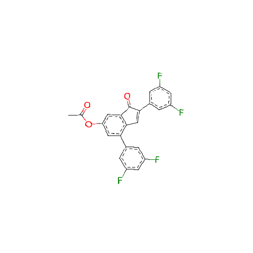 CC(=O)Oc1cc2c(c(-c3cc(F)cc(F)c3)c1)C=C(c1cc(F)cc(F)c1)C2=O